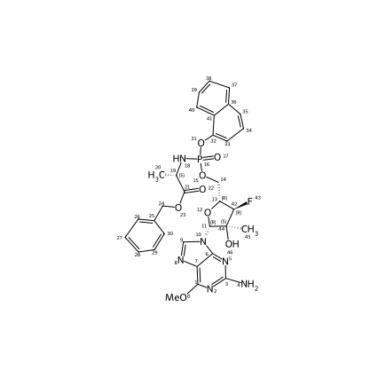 COc1nc(N)nc2c1ncn2[C@@H]1O[C@H](COP(=O)(N[C@@H](C)C(=O)OCc2ccccc2)Oc2cccc3ccccc23)[C@@H](F)[C@@]1(C)O